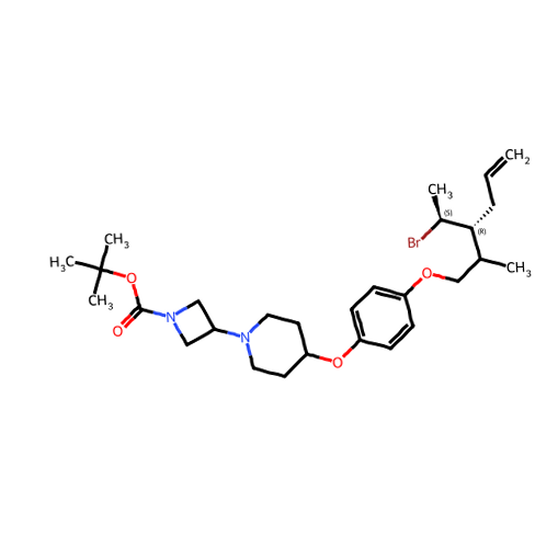 C=CC[C@H](C(C)COc1ccc(OC2CCN(C3CN(C(=O)OC(C)(C)C)C3)CC2)cc1)[C@H](C)Br